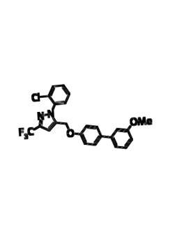 COc1cccc(-c2ccc(OCc3cc(C(F)(F)F)nn3-c3ccccc3Cl)cc2)c1